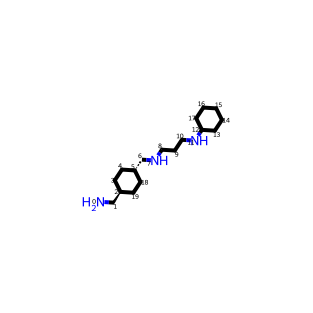 NC[C@H]1CC[C@H](CNCCCNC2CCCCC2)CC1